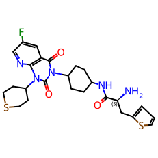 N[C@@H](Cc1cccs1)C(=O)NC1CCC(n2c(=O)c3cc(F)cnc3n(C3CCSCC3)c2=O)CC1